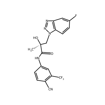 C[C@](O)(Cn1nnc2cc(F)ccc21)C(=O)Nc1ccc(C#N)c(C(F)(F)F)c1